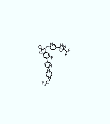 O=c1oc2cc(-c3ccc(N4CCN(CC(F)(F)F)CC4)nc3)c(F)cc2n1Cc1ccc(-c2nnc(C(F)F)o2)cn1